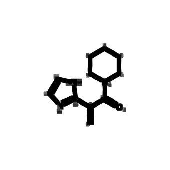 C=C(C(=O)N1CCCCC1)c1ncc[nH]1